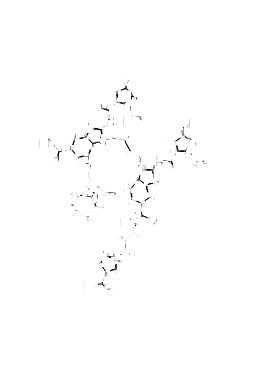 CCn1nc(C)cc1C(=O)Nc1nc2cc(C(N)=O)cc3c2n1C/C=C/Cn1c(NC(=O)c2cc(C)nn2CC)nc2cc(C(=O)NCCCn4cc(C(=O)O)cn4)cc(c21)OC[C@@H](C1C2CCC1COC2)CO3